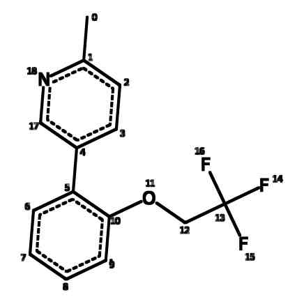 Cc1ccc(-c2ccc[c]c2OCC(F)(F)F)cn1